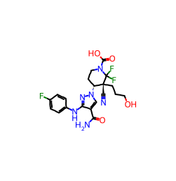 N#C[C@@]1(CCCO)[C@H](n2cc(C(N)=O)c(Nc3ccc(F)cc3)n2)CCN(C(=O)O)C1(F)F